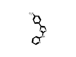 O=[N+]([O-])c1ccc(-c2csc(Nc3ccccn3)n2)cc1